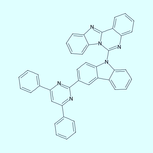 c1ccc(-c2cc(-c3ccccc3)nc(-c3ccc4c(c3)c3ccccc3n4-c3nc4ccccc4c4nc5ccccc5n34)n2)cc1